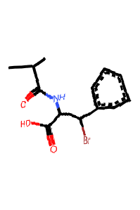 CC(C)C(=O)NC(C(=O)O)C(Br)c1ccccc1